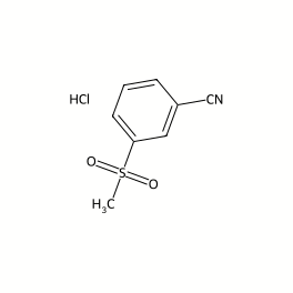 CS(=O)(=O)c1cccc(C#N)c1.Cl